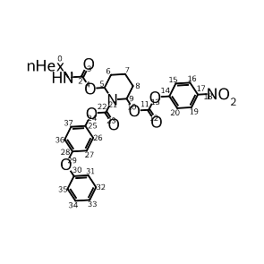 CCCCCCNC(=O)OC1CCCC(OC(=O)Oc2ccc([N+](=O)[O-])cc2)N1C(=O)Oc1ccc(Oc2ccccc2)cc1